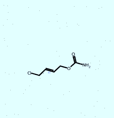 NC(=O)OC/C=C/CCl